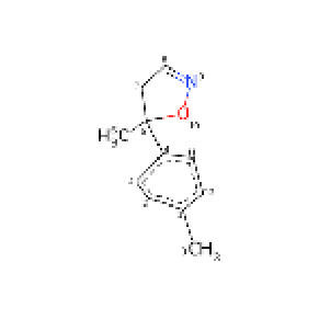 Cc1ccc(C2(C)CC=NO2)cc1